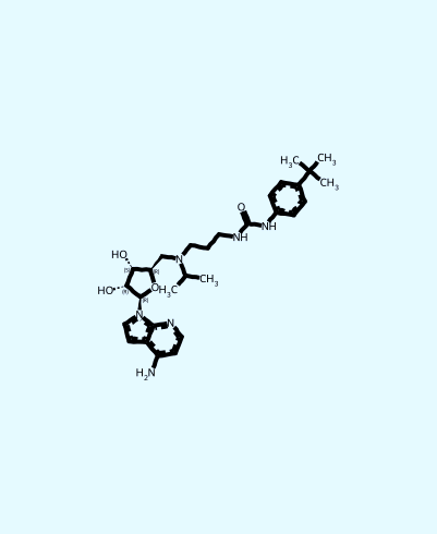 CC(C)N(CCCNC(=O)Nc1ccc(C(C)(C)C)cc1)C[C@H]1O[C@@H](n2ccc3c(N)ccnc32)[C@H](O)[C@@H]1O